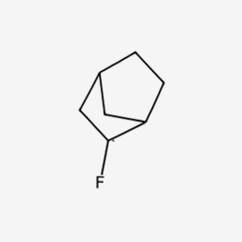 F[C]1CC2CCC1C2